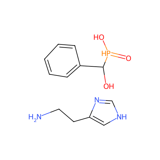 NCCc1c[nH]cn1.O=[PH](O)C(O)c1ccccc1